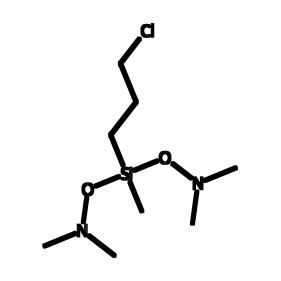 CN(C)O[Si](C)(CCCCl)ON(C)C